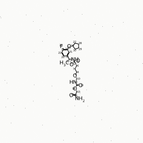 CC(NS(=O)(=O)CCCOCNC(=O)OCC(N)=O)c1ccc(F)c(OC2CCCC2)c1